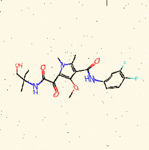 COc1c(C(=O)Nc2ccc(F)c(F)c2)c(C)n(C)c1C(=O)C(=O)NC(C)(C)CO